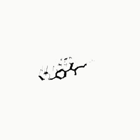 Cc1c(CC(C)C)sc(S(=O)(=O)OC(N)=O)c1-c1ccc(Cn2ccnc2)cc1